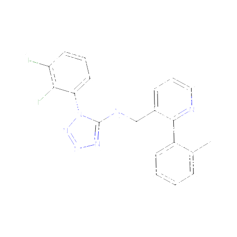 Cc1ccccc1-c1ncccc1CNc1nnnn1-c1cccc(Cl)c1Cl